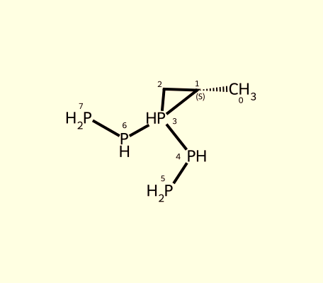 C[C@H]1C[PH]1(PP)PP